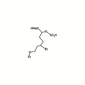 CCCCCCCC(CCC(CC)CCOCC)OS(=O)(=O)O